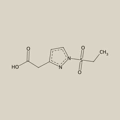 CCS(=O)(=O)n1ccc(CC(=O)O)n1